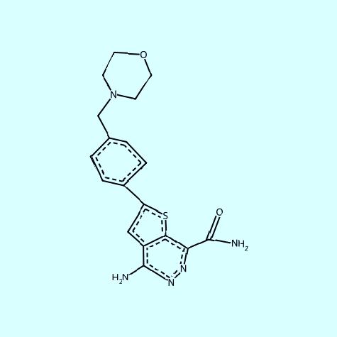 NC(=O)c1nnc(N)c2cc(-c3ccc(CN4CCOCC4)cc3)sc12